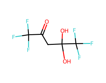 O=C(CC(O)(O)C(F)(F)F)C(F)(F)F